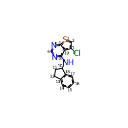 Clc1csc2ncnc(NC3CCc4ccccc43)c12